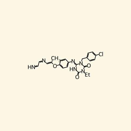 CCn1c(=O)[nH]/c(=N\c2ccc(O/C(C)=C/N=C\C=N)cc2)n(Cc2ccc(Cl)cc2)c1=O